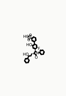 O=C1[C@H](CC[C@H](O)c2ccccc2)[C@@H](c2ccc(-c3cccc(S(=O)(=O)O)c3)c(O)c2)N1c1ccccc1F